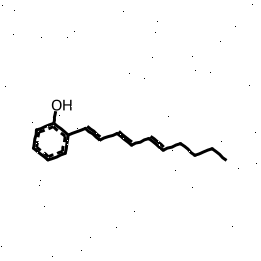 CCCC/C=C/C=C/C=C/c1ccccc1O